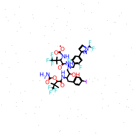 COC(=O)NC(C(=O)NN(Cc1c(F)cc(-c2ccn(C(F)F)n2)cc1F)CC(O)C(Cc1ccc(I)cc1)NC(=O)C(OC(N)=O)C(C)(C)C(F)(F)F)C(C)(C)C(F)(F)F